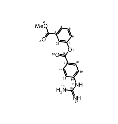 COC(=O)c1cccc(OC(=O)c2ccc(NC(=N)N)cc2)c1